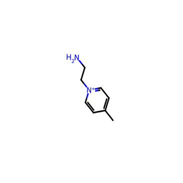 Cc1cc[n+](CCN)cc1